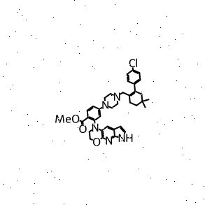 COC(=O)c1ccc(N2CCN(CC3=C(c4ccc(Cl)cc4)CC(C)(C)CC3)CC2)cc1N1CCOc2nc3[nH]ccc3cc21